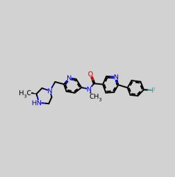 C[C@H]1CN(Cc2ccc(N(C)C(=O)c3ccc(-c4ccc(F)cc4)nc3)cn2)CCN1